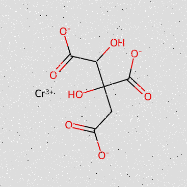 O=C([O-])CC(O)(C(=O)[O-])C(O)C(=O)[O-].[Cr+3]